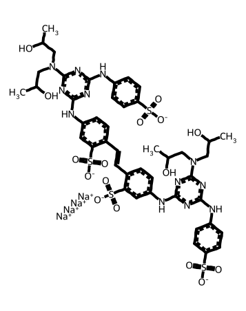 CC(O)CN(CC(C)O)c1nc(Nc2ccc(S(=O)(=O)[O-])cc2)nc(Nc2ccc(C=Cc3ccc(Nc4nc(Nc5ccc(S(=O)(=O)[O-])cc5)nc(N(CC(C)O)CC(C)O)n4)cc3S(=O)(=O)[O-])c(S(=O)(=O)[O-])c2)n1.[Na+].[Na+].[Na+].[Na+]